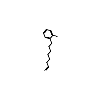 [CH]=CCCCCCCc1ccccc1C